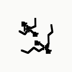 CCC[CH2][Hf]([Br])([Br])[CH2]CCC.C[CH2][Hf]([Br])([Br])[CH2]C